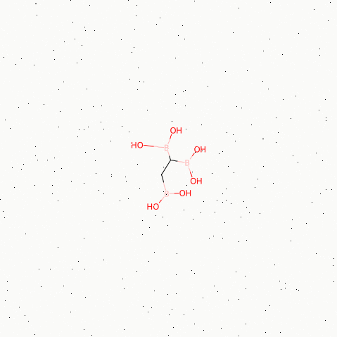 OB(O)CC(B(O)O)B(O)O